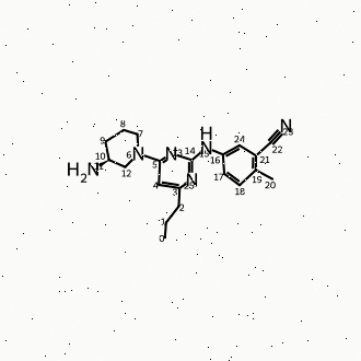 CCCc1cc(N2CCC[C@H](N)C2)nc(Nc2ccc(C)c(C#N)c2)n1